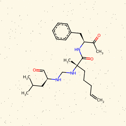 C=CCCC[C@](C)(NCN[C@H](C=O)CC(C)C)C(=O)N[C@@H](Cc1ccccc1)C(C)=O